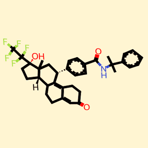 CC(C)(NC(=O)c1ccc([C@H]2CC3(C)[C@@H](CC[C@@]3(O)C(F)(F)C(F)(F)F)C3CCC4=CC(=O)CCC4=C32)cc1)c1ccccc1